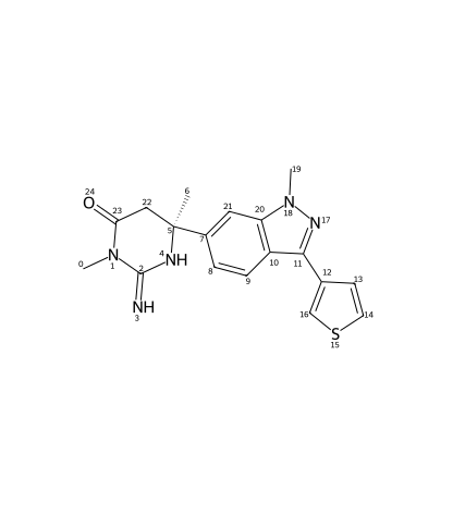 CN1C(=N)N[C@](C)(c2ccc3c(-c4ccsc4)nn(C)c3c2)CC1=O